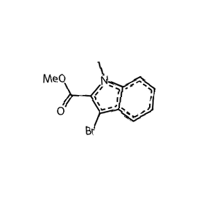 COC(=O)c1c(Br)c2ccccc2n1C